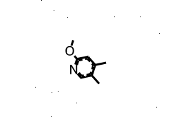 COc1cc(C)c(C)cn1